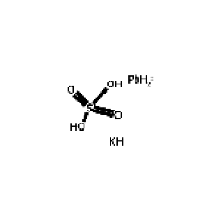 O=S(=O)(O)O.[KH].[PbH2]